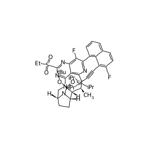 CCS(=O)(=O)c1nc2c3c(nc(-c4cccc5ccc(F)c(C#C[Si](C(C)C)(C(C)C)C(C)C)c45)c(F)c3n1)C[C@@H](C)[C@@H]1[C@@H]3CC[C@H](CN21)N3C(=O)OC(C)(C)C